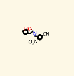 N#Cc1ccc([N+](=O)[O-])c(/C=N/[C@@H](CO)Cc2ccccc2)c1